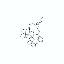 CCO[Si](C)(CCCN(c1ccccc1)C(CC(=O)O[Si](C(C)C)(C(C)C)C(C)C)C(=O)O[Si](C(C)C)(C(C)C)C(C)C)OCC